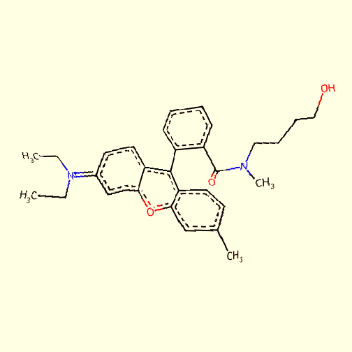 CC[N+](CC)=c1ccc2c(-c3ccccc3C(=O)N(C)CCCCO)c3ccc(C)cc3oc-2c1